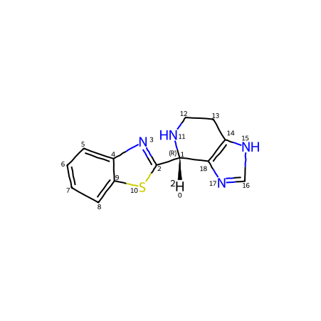 [2H][C@@]1(c2nc3ccccc3s2)NCCc2[nH]cnc21